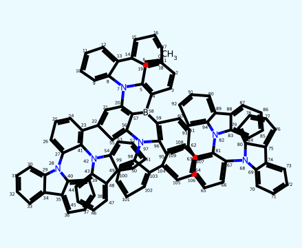 Cc1ccc2c(c1)N(c1ccccc1-c1ccccc1)c1cc(-c3cccc(-n4c5ccccc5c5ccccc54)c3-n3c4ccccc4c4ccccc43)cc3c1B2c1ccc(-c2cccc(-n4c5ccccc5c5ccccc54)c2-n2c4ccccc4c4ccccc42)cc1N3c1ccccc1-c1ccccc1